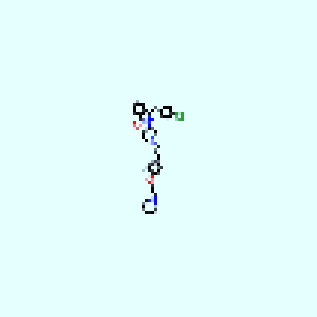 Cc1cc(CCCN2CCCC(n3nc(Cc4ccc(Cl)cc4)c4ccccc4c3=O)CC2)ccc1OCCCN1CCCCCC1